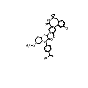 CO[C@H]1CC[C@H](CC(C(=O)Nc2ccc(C(=O)O)cc2)n2cc3c(cc2=O)-c2cc(Cl)ccc2CC2(CC2)NC3=O)CC1